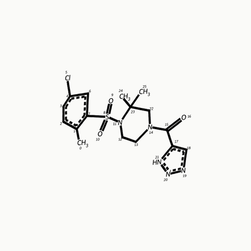 Cc1ccc(Cl)cc1S(=O)(=O)N1CCN(C(=O)c2cnn[nH]2)CC1(C)C